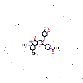 CC(=O)N1CCC(C(=O)N(Cc2ccc3c(c2)OCO3)Cc2cc3cc(C)cc(C)c3[nH]c2=O)CC1